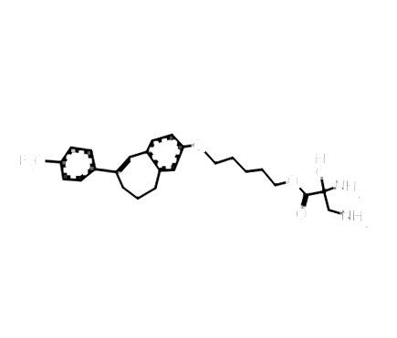 CC(N)(CN)C(=O)OCCCCCOc1ccc2c(c1)CCCC(c1ccc(C(F)(F)F)cc1)=C2